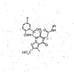 COc1ccc(F)cc1[C@@H](O)Cn1c(=O)n([C@@H](C)C(=O)NC(C)C)c(=O)c2c(C)c(C(=O)O)sc21